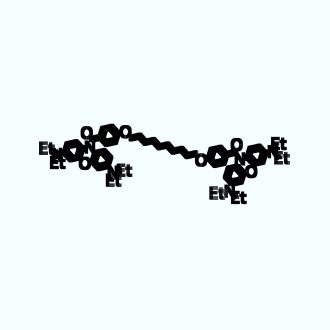 CCN(CC)c1ccc2c(c1)Oc1cc(N(CC)CC)ccc1N2C(=O)c1ccc(OCCCCCCCCCCOc2ccc(C(=O)N3c4ccc(N(CC)CC)cc4Oc4cc(N(CC)CC)ccc43)cc2)cc1